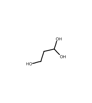 OCC[C](O)O